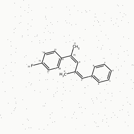 CC(=Cc1ccccc1)C=C(C)c1ccc(F)cc1